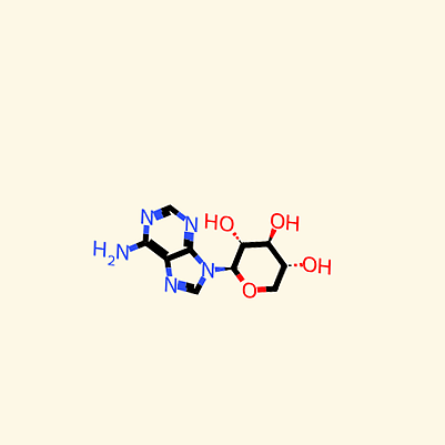 Nc1ncnc2c1ncn2[C@@H]1OC[C@@H](O)[C@H](O)[C@H]1O